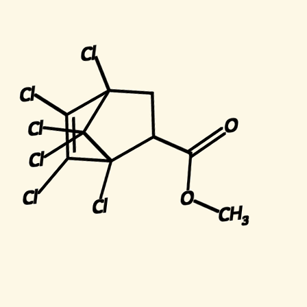 COC(=O)C1CC2(Cl)C(Cl)=C(Cl)C1(Cl)C2(Cl)Cl